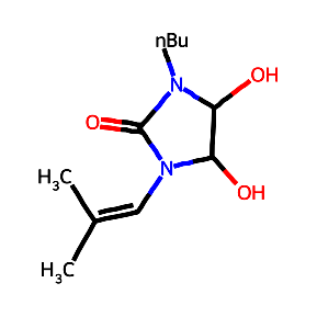 CCCCN1C(=O)N(C=C(C)C)C(O)C1O